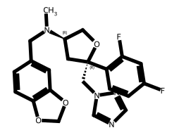 CN(Cc1ccc2c(c1)OCO2)[C@H]1CO[C@@](Cn2cncn2)(c2ccc(F)cc2F)C1